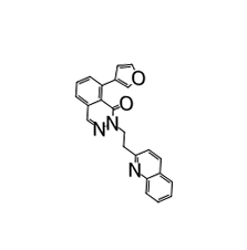 O=c1c2c(-c3ccoc3)cccc2cnn1CCc1ccc2ccccc2n1